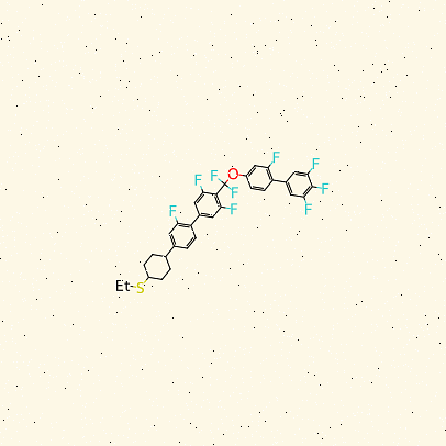 CCSC1CCC(c2ccc(-c3cc(F)c(C(F)(F)Oc4ccc(-c5cc(F)c(F)c(F)c5)c(F)c4)c(F)c3)c(F)c2)CC1